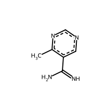 Cc1ncncc1C(=N)N